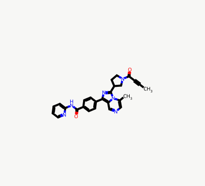 CC#CC(=O)N1CCC(c2nc(-c3ccc(C(=O)Nc4ccccn4)cc3)c3cncc(C)n23)C1